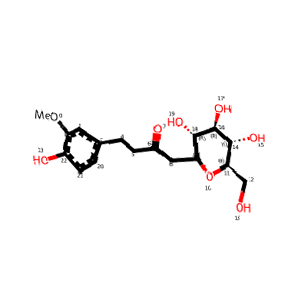 COc1cc(CCC(=O)CC2O[C@H](CO)[C@@H](O)[C@H](O)[C@H]2O)ccc1O